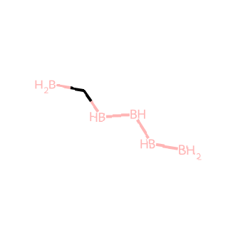 BBBBCB